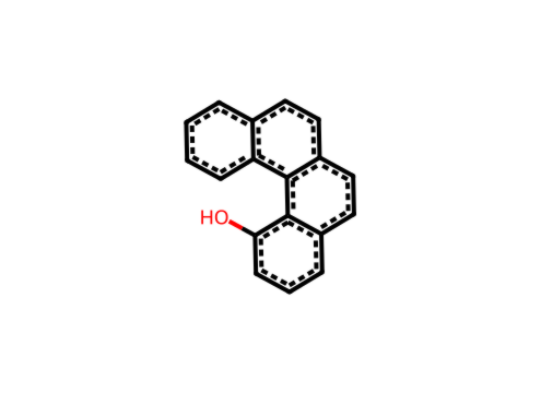 Oc1cccc2ccc3ccc4ccccc4c3c12